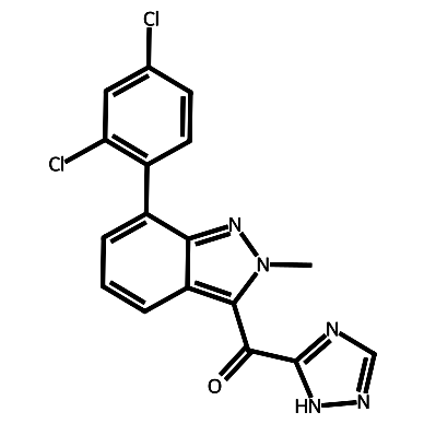 Cn1nc2c(-c3ccc(Cl)cc3Cl)cccc2c1C(=O)c1ncn[nH]1